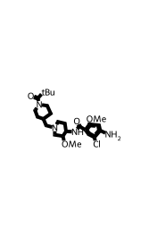 COc1cc(N)c(Cl)cc1C(=O)NC1CCN(CC2CCN(C(=O)C(C)(C)C)CC2)CC1OC